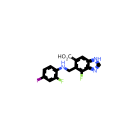 O=C(O)c1cc2[nH]cnc2c(F)c1CNc1ccc(I)cc1F